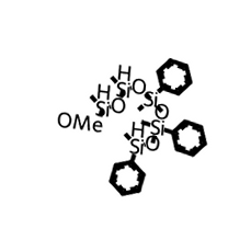 CO[SiH](C)O[SiH](C)O[Si](C)(O[Si](C)(O[SiH](C)c1ccccc1)c1ccccc1)c1ccccc1